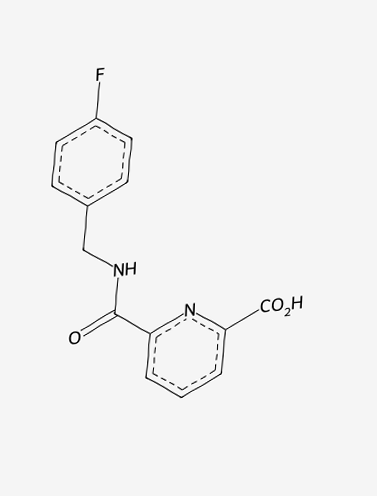 O=C(O)c1cccc(C(=O)NCc2ccc(F)cc2)n1